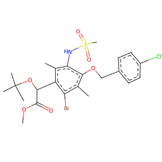 COC(=O)C(OC(C)(C)C)c1c(C)c(NS(C)(=O)=O)c(OCc2ccc(Cl)cc2)c(C)c1Br